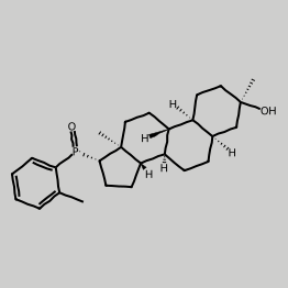 Cc1ccccc1[P](=O)[C@H]1CC[C@H]2[C@@H]3CC[C@@H]4C[C@](C)(O)CC[C@@H]4[C@H]3CC[C@]12C